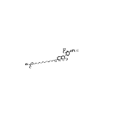 CCCCCc1ccc(-c2cc3ccc(OCCCCCCCCCCCCOC(=O)C(C)CC)nc3oc2=O)c(OC(F)(F)F)c1